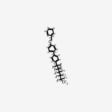 FC(F)(F)C(F)(F)C(F)(F)C(F)(F)C(F)(F)C(F)(F)c1ccc(-c2ccc(OCc3ccccc3)cc2)cc1